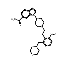 COc1cccc(CN2CCOCC2)c1CCN1CCC(n2ccc3ccc(C(N)=O)cc32)CC1